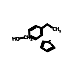 CCc1ccccc1.CO.c1ccsc1